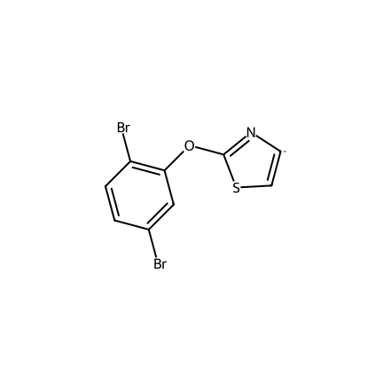 Brc1ccc(Br)c(Oc2n[c]cs2)c1